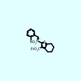 CCOC(=O)c1c(/N=C/c2ccccc2[N+](=O)[O-])sc2c1CCCC2